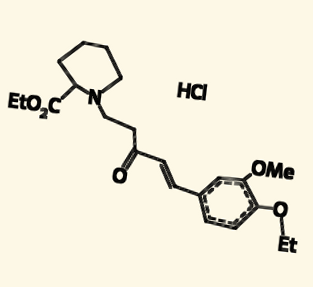 CCOC(=O)C1CCCCN1CCC(=O)C=Cc1ccc(OCC)c(OC)c1.Cl